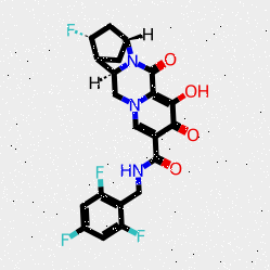 O=C(NCc1c(F)cc(F)cc1F)c1cn2c(c(O)c1=O)C(=O)N1[C@@H]3CC([C@H](F)C3)[C@@H]1C2